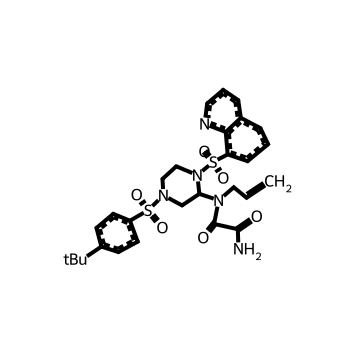 C=CCN(C(=O)C(N)=O)C1CN(S(=O)(=O)c2ccc(C(C)(C)C)cc2)CCN1S(=O)(=O)c1cccc2cccnc12